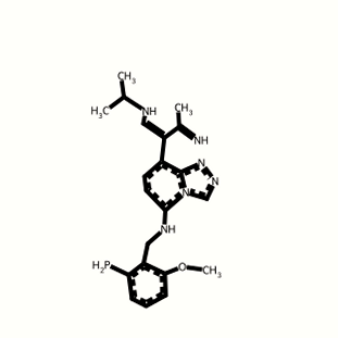 COc1cccc(P)c1CNc1ccc(/C(=C/NC(C)C)C(C)=N)c2nncn12